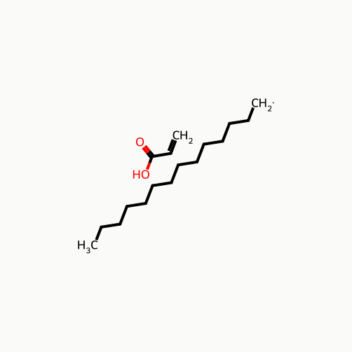 C=CC(=O)O.[CH2]CCCCCCCCCCCCC